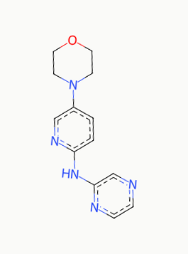 c1cnc(Nc2ccc(N3CCOCC3)cn2)cn1